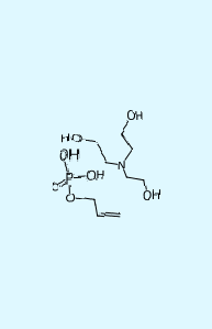 C=CCOP(=O)(O)O.OCCN(CCO)CCO